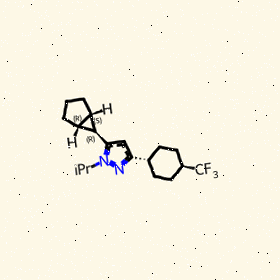 CC(C)n1nc([C@H]2CC[C@H](C(F)(F)F)CC2)cc1[C@H]1[C@@H]2CCC[C@@H]21